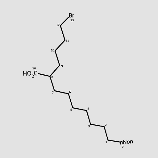 CCCCCCCCCCCCCCCCC(CCCCBr)C(=O)O